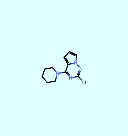 Clc1nc(N2CCCCC2)c2cccn2n1